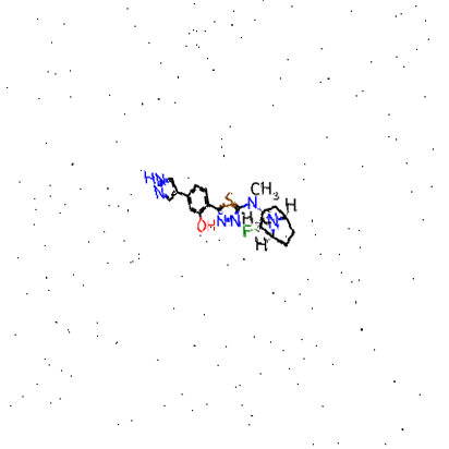 CN(c1nnc(-c2ccc(-c3cn[nH]c3)cc2O)s1)[C@@H]1C[C@H]2CC[C@@H]([C@@H]1F)N2C